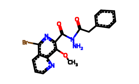 COc1c(C(=O)N(N)C(=O)Cc2ccccc2)nc(Br)c2cccnc12